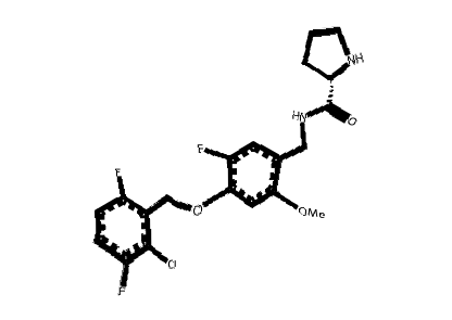 COc1cc(OCc2c(F)ccc(F)c2Cl)c(F)cc1CNC(=O)[C@@H]1CCCN1